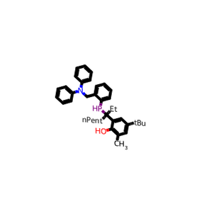 CCCCCC(CC)(Pc1ccccc1CN(c1ccccc1)c1ccccc1)c1cc(C(C)(C)C)cc(C)c1O